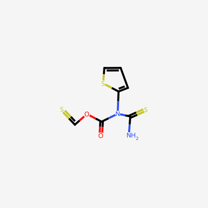 NC(=S)N(C(=O)OC=S)c1cccs1